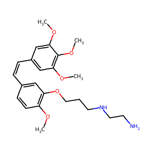 COc1ccc(/C=C\c2cc(OC)c(OC)c(OC)c2)cc1OCCCNCCN